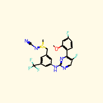 COc1cc(F)ccc1-c1nc(Nc2cc(CS(C)=NC#N)cc(C(F)(F)F)c2)ncc1F